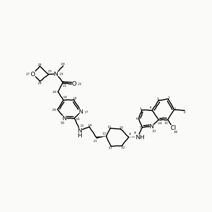 Cc1ccc2ccc(N[C@H]3CC[C@H](CCNc4ncc(CC(=O)N(C)C5COC5)cn4)CC3)nc2c1Cl